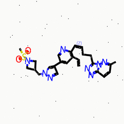 C=Cc1cc(-c2cnn(CC3CN(S(C)(=O)=O)C3)c2)cnc1/C=C\CCc1nnc2ccc(C)nn12